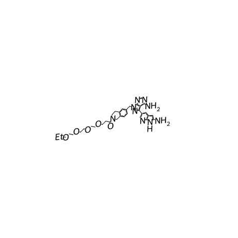 CCOCCOCCOCCOCCC(=O)N1CCc2cc(Cn3nc(-c4cnc5[nH]c(N)cc5c4)c4c(N)ncnc43)ccc2C1